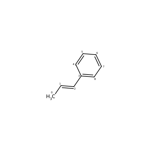 C/C=C/c1[c]cccc1